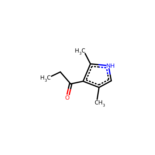 CCC(=O)c1c(C)c[nH]c1C